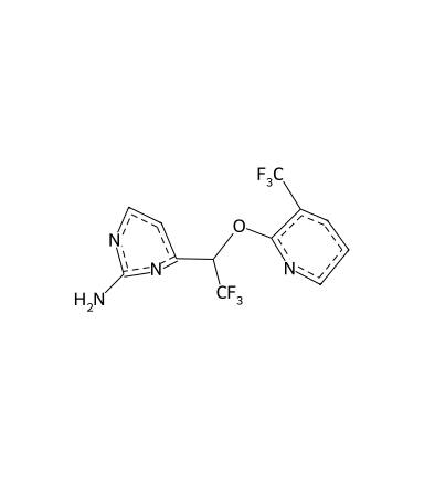 Nc1nccc(C(Oc2ncccc2C(F)(F)F)C(F)(F)F)n1